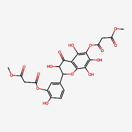 COC(=O)CC(=O)Oc1cc(C2Oc3c(O)c(O)c(OC(=O)CC(=O)OC)c(O)c3C(=O)C2O)ccc1O